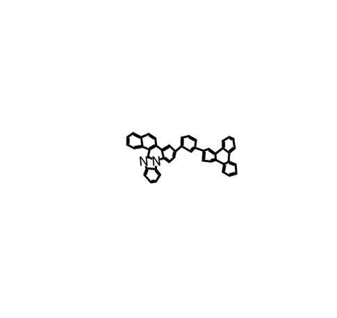 c1cc(-c2ccc3c4ccccc4c4ccccc4c3c2)cc(-c2ccc3c(c2)c2ccc4ccccc4c2c2nc4ccccc4n32)c1